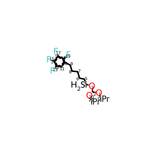 CC(C)OC(O[SiH2]CCCCCc1cc(F)c(F)c(F)c1F)OC(C)C